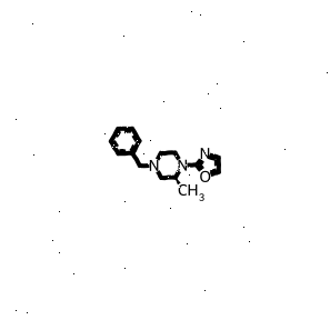 C[C@H]1CN(Cc2ccccc2)CCN1c1ncco1